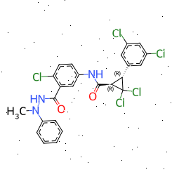 CN(NC(=O)c1cc(NC(=O)[C@H]2[C@H](c3cc(Cl)cc(Cl)c3)C2(Cl)Cl)ccc1Cl)c1ccccc1